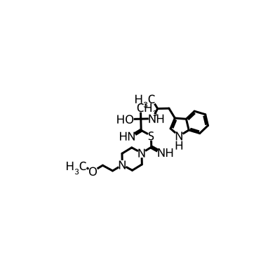 COCCN1CCN(C(=N)SC(=N)C(C)(O)NC(C)Cc2c[nH]c3ccccc23)CC1